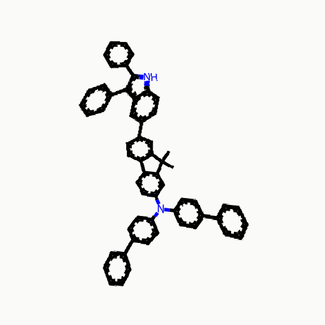 CC1(C)c2cc(-c3ccc4[nH]c(-c5ccccc5)c(-c5ccccc5)c4c3)ccc2-c2ccc(N(c3ccc(-c4ccccc4)cc3)c3ccc(-c4ccccc4)cc3)cc21